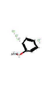 [Cl-].[Cl-].[Cl-].[Cl-].[Mo+4][O]c1ccccc1